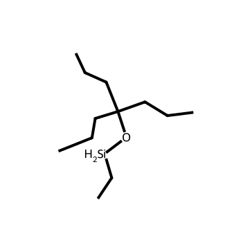 CCCC(CCC)(CCC)O[SiH2]CC